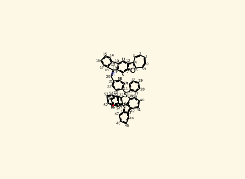 C1=CC=Cc2c(oc3cc4c(cc23)-c2ccccc2/C4=C/c2ccc([Si](c3ccccc3)(c3ccccc3)c3cccc4c5ccccc5n(-c5ccccc5)c34)cc2)C=1